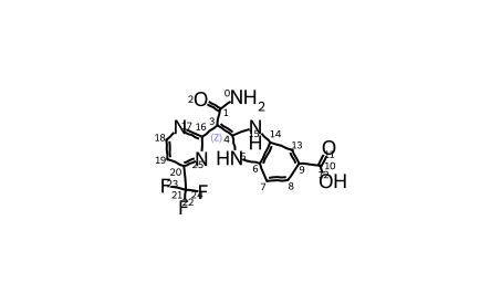 NC(=O)/C(=C1/Nc2ccc(C(=O)O)cc2N1)c1nccc(C(F)(F)F)n1